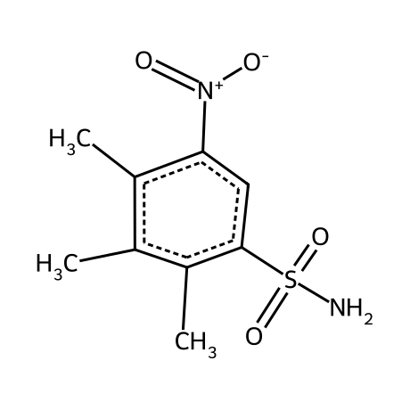 Cc1c([N+](=O)[O-])cc(S(N)(=O)=O)c(C)c1C